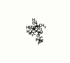 CCC(C)(C)CC(C)(C(=O)OCC(F)(F)F)C(C)(C)C